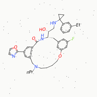 CCCN1CCCCOc2cc(F)cc(c2)C[C@@H]([C@H](O)CNC2(c3cccc(CC)c3)CC2)NC(=O)c2cc(cc(-c3ncco3)c2)C1